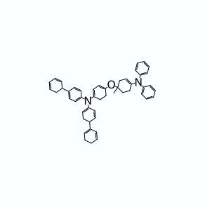 CC1(OC2=CC=C(N(C3=CCC(C4=CCCC=C4)C=C3)c3ccc(C4C=CC=CC4)cc3)CC2)CC=C(N(c2ccccc2)c2ccccc2)CC1